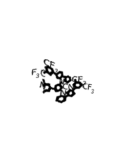 Cc1cc(-c2cc(-n3c4ccccc4c4ccc(-c5cc(C(F)(F)F)cc(C(F)(F)F)c5)cc43)c(C#N)c(-n3c4ccccc4c4ccc(-c5cc(C(F)(F)F)cc(C(F)(F)F)c5)cc43)c2)cc(C)n1